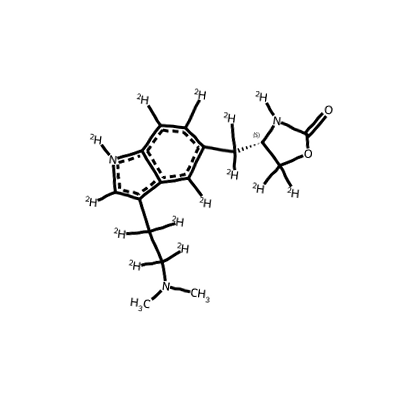 [2H]c1c(C([2H])([2H])[C@@H]2N([2H])C(=O)OC2([2H])[2H])c([2H])c2c(C([2H])([2H])C([2H])([2H])N(C)C)c([2H])n([2H])c2c1[2H]